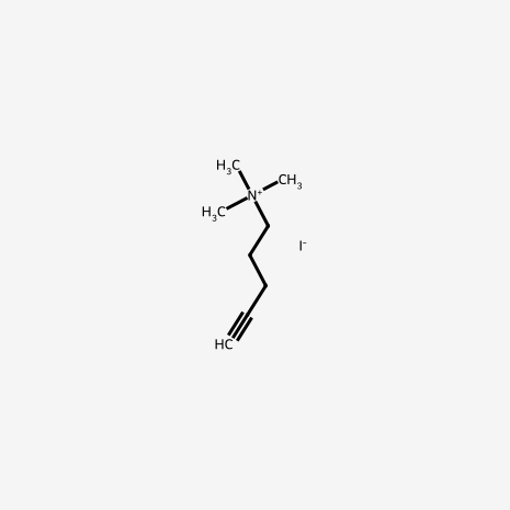 C#CCCC[N+](C)(C)C.[I-]